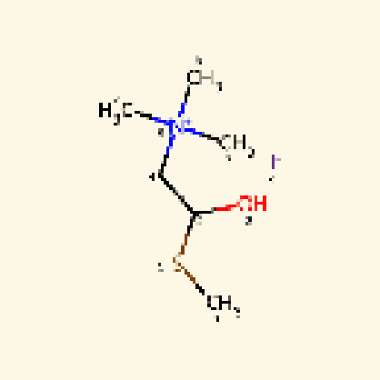 CSC(O)C[N+](C)(C)C.[I-]